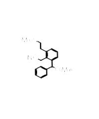 CO[C](c1ccccc1)c1cccc(CCSC)c1CC#N